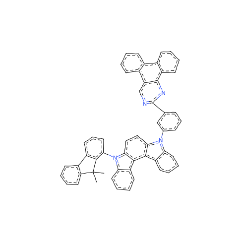 CC1(C)c2ccccc2-c2cccc(-n3c4ccccc4c4c5c6ccccc6n(-c6cccc(-c7ncc8c9ccccc9c9ccccc9c8n7)c6)c5ccc43)c21